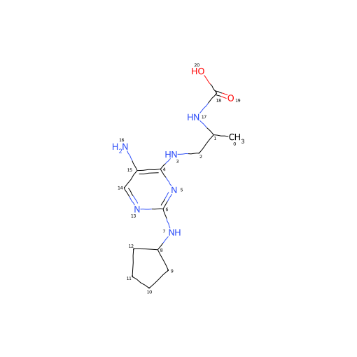 CC(CNc1nc(NC2CCCC2)ncc1N)NC(=O)O